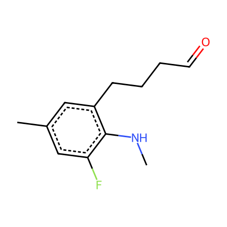 CNc1c(F)cc(C)cc1CCCC=O